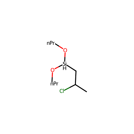 CCCO[SiH](CC(C)Cl)OCCC